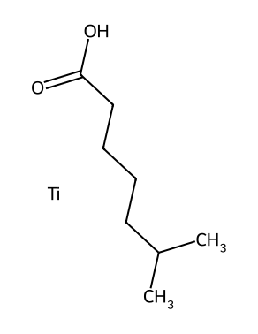 CC(C)CCCCC(=O)O.[Ti]